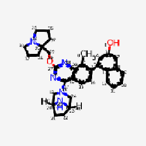 Cc1c(-c2cc(O)cc3ccccc23)ccc2c(N3C[C@H]4CC[C@@H](C3)N4)nc(OCC34CCCN3CCC4)nc12